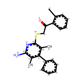 Cc1ccccc1C(=O)CSc1nc(N)c(C#N)c(-c2ccccc2)c1C#N